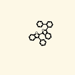 c1ccc(-c2ccccc2-c2oc(-c3oc4ccccc4c3-c3ccccc3)c3ccccc23)cc1